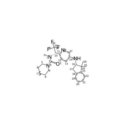 CN(C(=O)N1CCSCC1)[C@@H](c1ccc(NC2Cc3ccccc3C2(C)C)cn1)C(F)(F)F